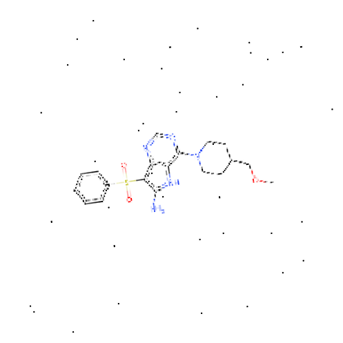 COCC1CCN(c2ncnc3c(S(=O)(=O)c4ccccc4)c(N)[nH]c23)CC1